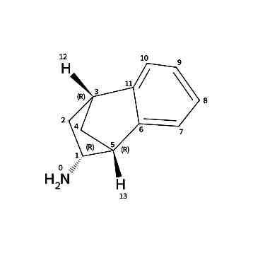 N[C@@H]1C[C@H]2C[C@@H]1c1ccccc12